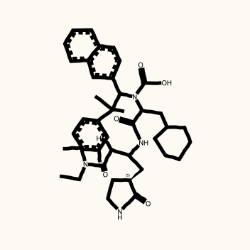 CCN(CC)C(=O)C(O)C(C[C@@H]1CCNC1=O)NC(=O)C(CC1CCCCC1)N(C(=O)O)C(c1ccc2ccccc2c1)C(C)(C)c1cccc(Cl)c1